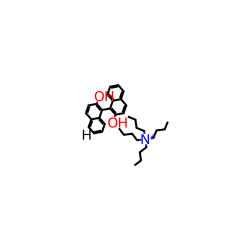 CCCC[N+](CCCC)(CCCC)CCCC.Oc1ccc2ccccc2c1-c1c(O)ccc2ccccc12.[H-]